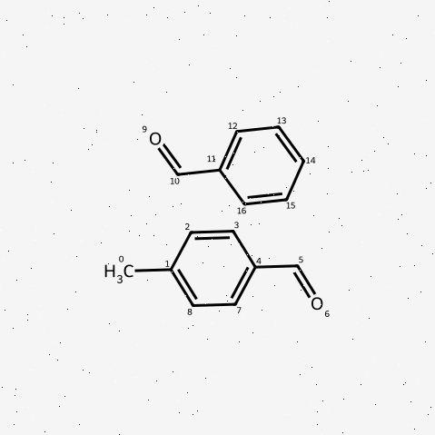 Cc1ccc(C=O)cc1.O=Cc1ccccc1